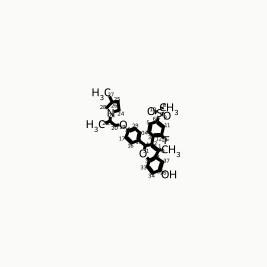 CC1=C(c2ccc(S(C)(=O)=O)cc2F)C(c2ccc(OCC(C)N3CCC(C)C3)cc2)Oc2ccc(O)cc21